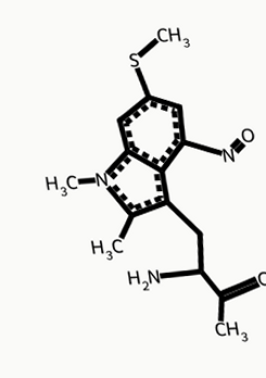 CSc1cc(N=O)c2c(CC(N)C(C)=O)c(C)n(C)c2c1